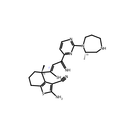 C[C@H]1CNCCCN1c1nccc(C(=N)/C=C(\S)[C@@]2(C)CCCc3sc(N)c(C#N)c32)n1